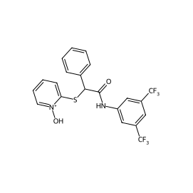 O=C(Nc1cc(C(F)(F)F)cc(C(F)(F)F)c1)C(Sc1cccc[n+]1O)c1ccccc1